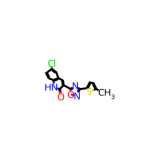 Cc1ccc(-c2noc(-c3cc4cc(Cl)ccc4[nH]c3=O)n2)s1